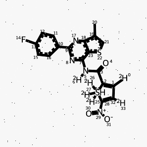 [2H]C1=C(C(=O)N([2H])c2nc(-c3ccc(F)cc3)nc3c(C)csc23)[SH]([2H])([2H])([2H])C([N+](=O)[O-])=C1[2H]